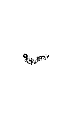 CC(C)OC(=O)CC1COP(=O)(CO[C@H](C)Cn2cnc3c(NC(=O)c4ccccc4)ncnc32)OC1